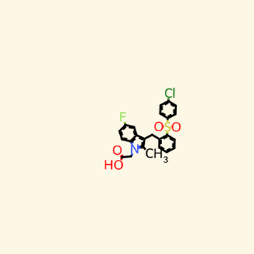 Cc1c(Cc2ccccc2S(=O)(=O)c2ccc(Cl)cc2)c2cc(F)ccc2n1CC(=O)O